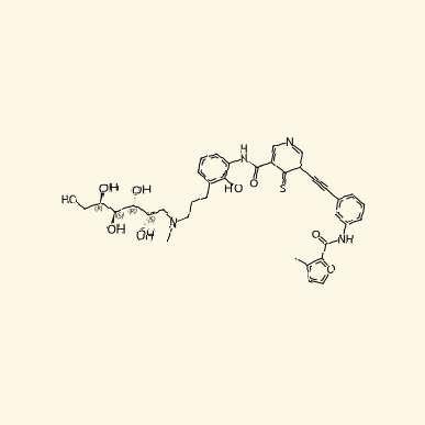 Cc1ccoc1C(=O)Nc1cccc(C#CC2C=NC=C(C(=O)Nc3cccc(CCCN(C)C[C@H](O)[C@@H](O)[C@@H](O)[C@H](O)CO)c3O)C2=S)c1